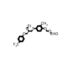 CCO[C@H](COc1ccc(C(F)(F)F)cc1)CSc1ccc(OCOC=O)c(C)c1